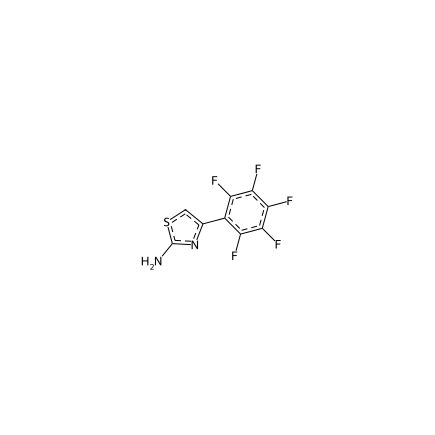 Nc1nc(-c2c(F)c(F)c(F)c(F)c2F)cs1